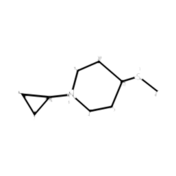 CSC1CCN(C2CC2)CC1